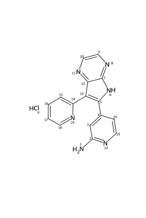 Cl.Nc1cc(-c2[nH]c3nccnc3c2-c2ccccn2)ccn1